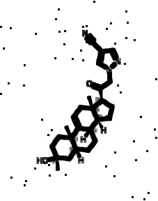 C[C@@]1(O)CC[C@]2(C)C3=CC[C@]4(C)[C@@H](C(=O)Cn5cc(C#N)cn5)CC[C@H]4[C@@H]3CC[C@@H]2C1